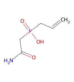 C=CCP(=O)(O)CC(N)=O